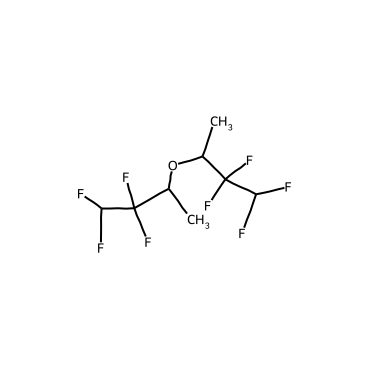 CC(OC(C)C(F)(F)C(F)F)C(F)(F)C(F)F